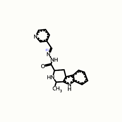 CC1NC(C(=O)N/N=C/c2cccnc2)Cc2c1[nH]c1ccccc21